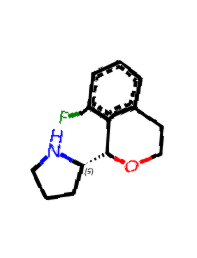 Fc1cccc2c1C([C@@H]1CCCN1)OCC2